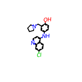 Oc1ccc(Nc2ccnc3cc(Cl)ccc23)cc1CN1CCCC1